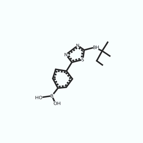 CCC(C)(C)Bc1nnc(-c2ccc(B(O)O)cc2)s1